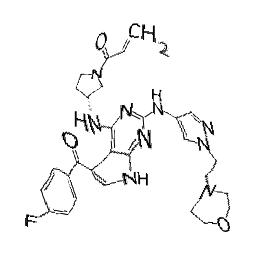 C=CC(=O)N1CC[C@@H](Nc2nc(Nc3cnn(CCN4CCOCC4)c3)nc3[nH]cc(C(=O)c4ccc(F)cc4)c23)C1